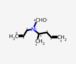 C=CCC(C)N([C]=O)CC=C